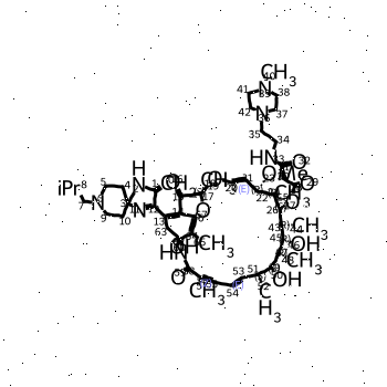 C=C1NC2(CCN(CC(C)C)CC2)N=C1C1=C2C(=O)[C@@]3(C)O/C=C/[C@H](OC)[C@@H](C)[C@@H](OC(=O)CC(=O)NCCN4CCN(C)CC4)[C@H](C)[C@H](O)[C@H](C)[C@@H](O)[C@@H](C)/C=C/C=C(/C)C(=O)NC(O)(C1)C(C)=C2O3